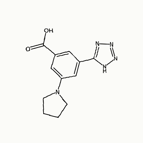 O=C(O)c1cc(-c2nnn[nH]2)cc(N2CCCC2)c1